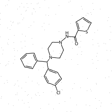 O=C(NN1CCN(C(c2ccccc2)c2ccc(Cl)cc2)CC1)c1cccs1